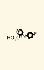 O=C(O)c1nnccc1Nc1ccc(F)cc1